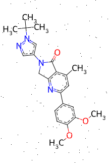 COc1ccc(-c2cc(C)c3c(n2)CN(c2cnn(C(C)(C)C)c2)C3=O)cc1OC